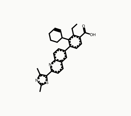 CCc1c(C(=O)O)ccc(-c2ccc3nc(-c4sc(C)nc4C)ccc3c2)c1C1C#CCCC1